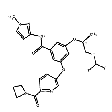 C[C@@H](COC(F)F)Oc1cc(Oc2ccc(C(=O)N3CCC3)nc2)cc(C(=O)Nc2ccn(C)n2)c1